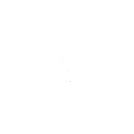 CC(=O)CCc1cc2c(=O)cc(Nc3ccccc3)n(-c3ccccc3)c2nc1C